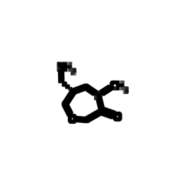 CN1C[C@@H](CN)COCC1=O